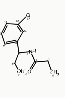 CCC(=O)NC(CO)c1cccc(Cl)c1